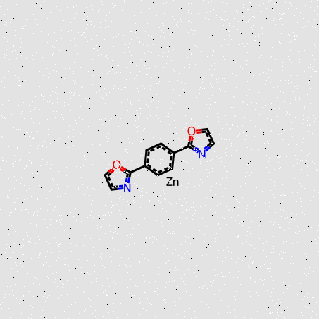 [Zn].c1coc(-c2ccc(-c3ncco3)cc2)n1